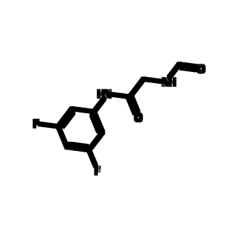 O=CNCC(=O)Nc1cc(F)cc(F)c1